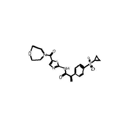 C=C(C(=O)Nc1ncc(C(=O)N2CCOCC2)s1)c1ccc(S(=O)(=O)C2CC2)cc1